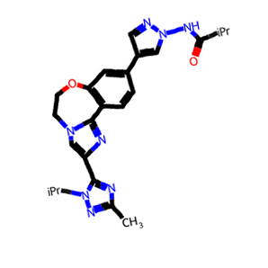 Cc1nc(-c2cn3c(n2)-c2ccc(-c4cnn(NC(=O)C(C)C)c4)cc2OCC3)n(C(C)C)n1